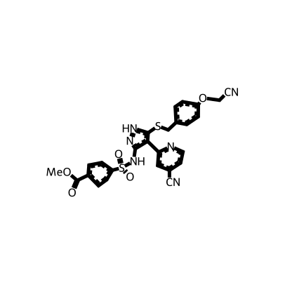 COC(=O)c1ccc(S(=O)(=O)Nc2n[nH]c(SCc3ccc(OCC#N)cc3)c2-c2cc(C#N)ccn2)cc1